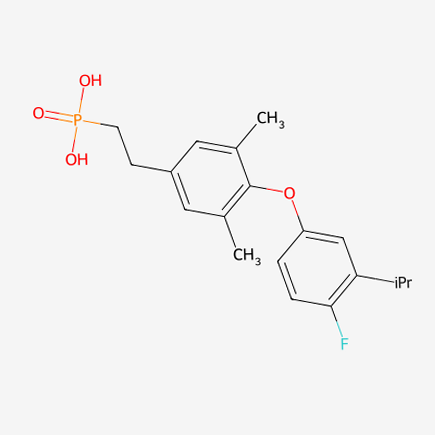 Cc1cc(CCP(=O)(O)O)cc(C)c1Oc1ccc(F)c(C(C)C)c1